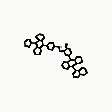 N=C1C=CC(c2c3ccccc3c(-c3cccc4ccccc34)c3ccccc23)=C/C1=N/Nc1ccc(-c2c3ccccc3c(-c3cccnc3)c3ccccc23)cc1